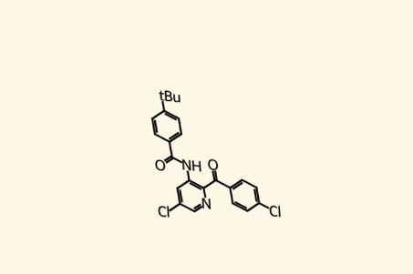 CC(C)(C)c1ccc(C(=O)Nc2cc(Cl)cnc2C(=O)c2ccc(Cl)cc2)cc1